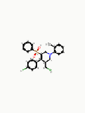 Cc1ccccc1N1CC(S(=O)(=O)c2ccccc2)=C(c2ccc(F)cc2)C(CBr)C1